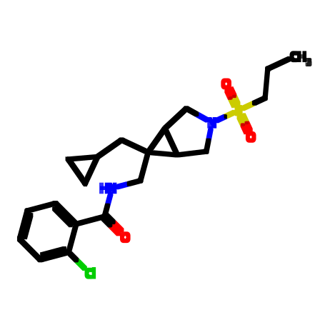 CCCS(=O)(=O)N1CC2C(C1)C2(CNC(=O)c1ccccc1Cl)CC1CC1